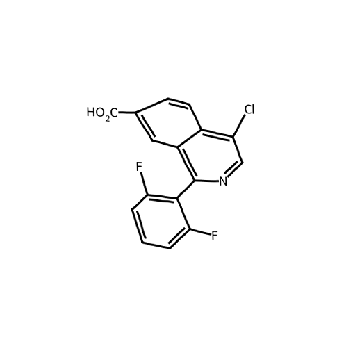 O=C(O)c1ccc2c(Cl)cnc(-c3c(F)cccc3F)c2c1